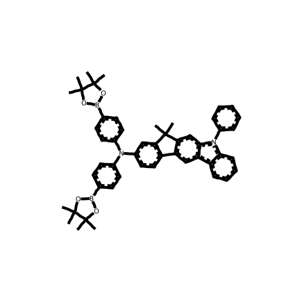 CC1(C)c2cc(N(c3ccc(B4OC(C)(C)C(C)(C)O4)cc3)c3ccc(B4OC(C)(C)C(C)(C)O4)cc3)ccc2-c2cc3c4ccccc4n(-c4ccccc4)c3cc21